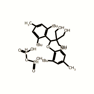 Cc1cc(C(C)(C)C)c(OC(c2c(C(C)(C)C)cc(C)cc2C(C)(C)C)C(CO)(CO)CO)c(C(C)(C)C)c1.O=[PH](O)O[PH](=O)O